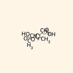 Cc1cc(OC(C)(C)C(=O)O)ccc1C(C)CC(=O)O